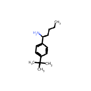 CCCCC(N)c1ccc(C(C)(C)C)cc1